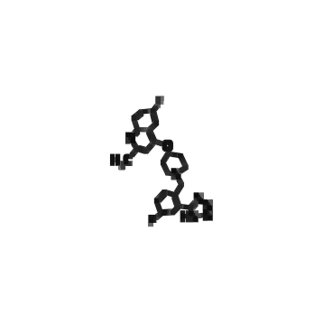 Cc1cc(OC2CCN(Cc3ccc(F)cc3-c3nnn[nH]3)CC2)c2cc(F)ccc2n1